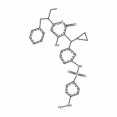 CCC(Cc1ccccc1)c1cc(O)c(C(c2cccc(NS(=O)(=O)c3ccc(NO)cc3)c2)C2CC2)c(=O)o1